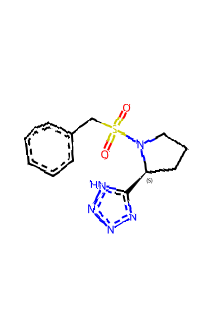 O=S(=O)(Cc1ccccc1)N1CCC[C@H]1c1nnn[nH]1